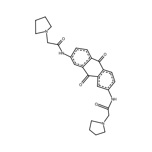 O=C(CN1CCCC1)Nc1ccc2c(c1)C(=O)c1cc(NC(=O)CN3CCCC3)ccc1C2=O